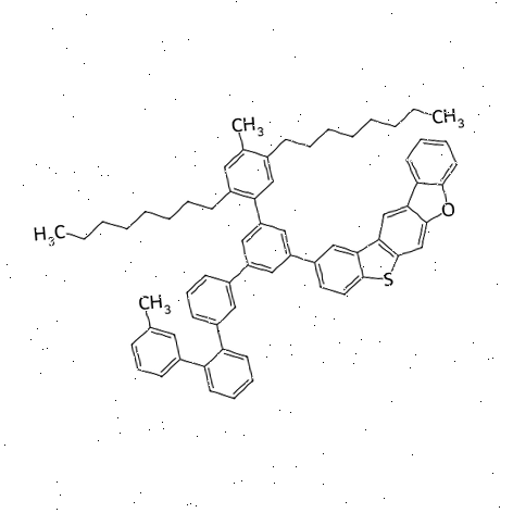 CCCCCCCCc1cc(-c2cc(-c3cccc(-c4ccccc4-c4cccc(C)c4)c3)cc(-c3ccc4sc5cc6oc7ccccc7c6cc5c4c3)c2)c(CCCCCCCC)cc1C